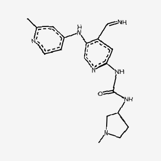 Cc1cc(Nc2cnc(NC(=O)NC3CCN(C)C3)cc2C=N)ccn1